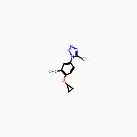 O=Cc1cc(-n2nnnc2C(F)(F)F)ccc1OC1CC1